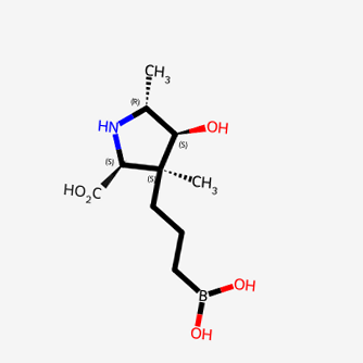 C[C@H]1N[C@H](C(=O)O)[C@](C)(CCCB(O)O)[C@@H]1O